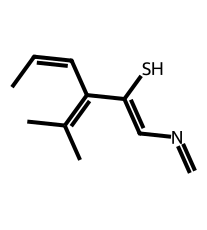 C=N/C=C(\S)C(/C=C\C)=C(C)C